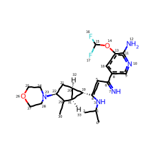 CC(C)N/C(=C\C(=N)c1cnc(N)c(OC(F)F)c1)[C@H]1[C@@H]2C[C@H](N3CCOCC3)C(C)[C@@H]21